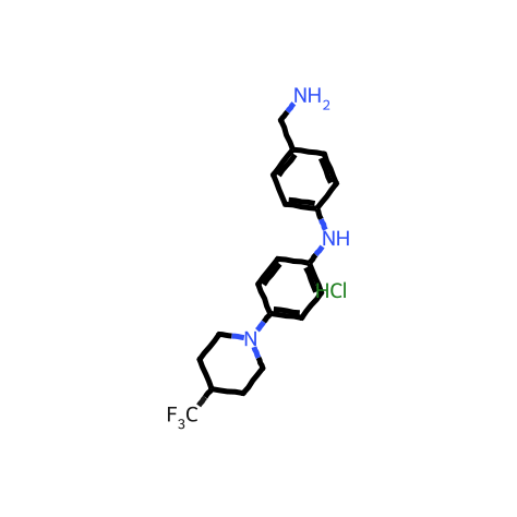 Cl.NCc1ccc(Nc2ccc(N3CCC(C(F)(F)F)CC3)cc2)cc1